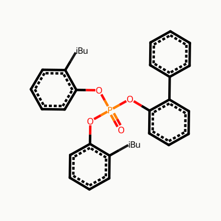 CCC(C)c1ccccc1OP(=O)(Oc1ccccc1-c1ccccc1)Oc1ccccc1C(C)CC